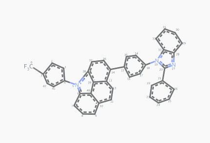 FC(F)(F)c1ccc(-n2c3cccc4ccc5c(-c6ccc(-n7c(-c8ccccc8)nc8ccccc87)cc6)ccc2c5c43)cc1